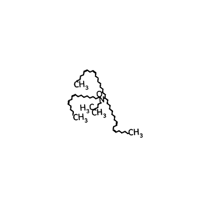 CCCCC/C=C\C/C=C\CCCCCCCCC(CCCCCCCC/C=C\C/C=C\CCCCC)N(CCCC(C)C)C(=O)CCCCCCC/C=C\C/C=C\CCCCC